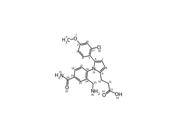 COc1ccc(-c2ccc(CCC(=O)O)n2-c2ccc(C(N)=O)cc2CN)c(Cl)c1